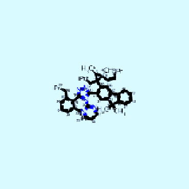 CC(C)/C=C\[C@]1(C)[C@@H](C)C1(CC(C)C)c1cc2c(cc1-c1nnc(-c3c(CC(C)C)cccc3CC(C)C)n1-c1ncccn1)C(C)(C)c1ccccc1-2